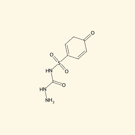 NNC(=O)NS(=O)(=O)C1=CCC(=O)C=C1